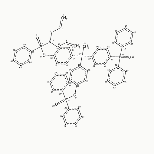 C=CCN(CC=C)P(=O)(Oc1ccc(C(C)(c2ccc(OP(=O)(c3ccccc3)c3ccccc3)cc2)c2ccc(P(=O)(c3ccccc3)c3ccccc3)cc2)cc1)c1ccccc1